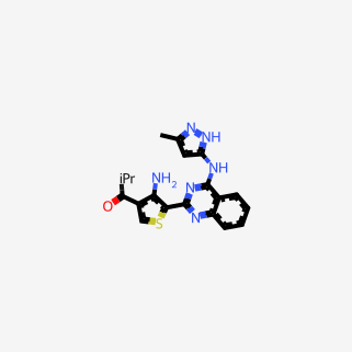 Cc1cc(Nc2nc(-c3scc(C(=O)C(C)C)c3N)nc3ccccc23)[nH]n1